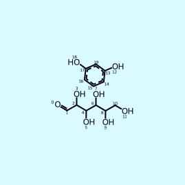 O=CC(O)C(O)C(O)C(O)CO.Oc1cccc(O)c1